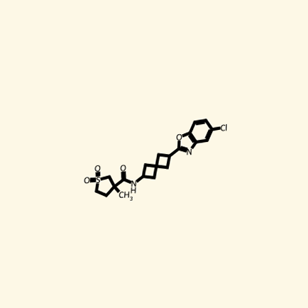 CC1(C(=O)NC2CC3(C2)CC(c2nc4cc(Cl)ccc4o2)C3)CCS(=O)(=O)C1